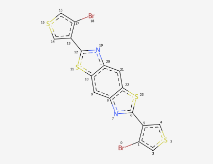 Brc1cscc1-c1nc2cc3sc(-c4cscc4Br)nc3cc2s1